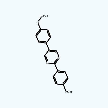 CCCCCCCCOc1ccc(-c2cnc(-c3ccc(CCCCCCCC)cc3)nc2)cc1